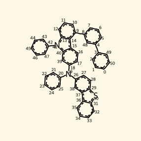 c1ccc(-c2cccc(-c3cccc4c3c3ccc(N(c5ccccc5)c5ccc6sc7ccccc7c6c5)cc3n4-c3ccccc3)c2)cc1